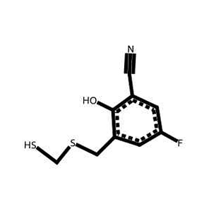 N#Cc1cc(F)cc(CSCS)c1O